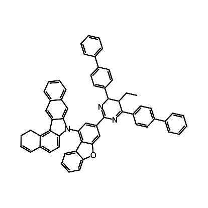 CCC1C(c2ccc(-c3ccccc3)cc2)=NC(c2cc(-n3c4cc5ccccc5cc4c4c5c(ccc43)C=CCC5)c3c(c2)oc2ccccc23)=NC1c1ccc(-c2ccccc2)cc1